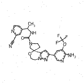 CC(NC(=O)N1CCC2(C1)OCCn1nc(-c3cnc(N)c(OC(F)(F)F)c3)cc12)c1ccnc(C#N)c1